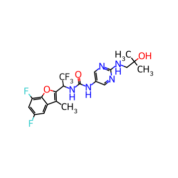 Cc1c(C(NC(=O)Nc2cnc(NCC(C)(C)O)nc2)C(F)(F)F)oc2c(F)cc(F)cc12